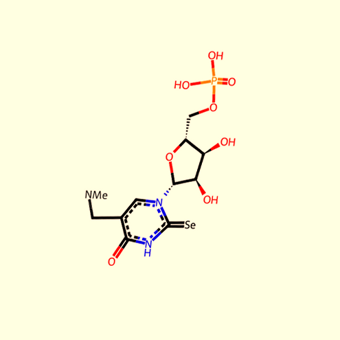 CNCc1cn([C@@H]2O[C@H](COP(=O)(O)O)[C@@H](O)[C@H]2O)c(=[Se])[nH]c1=O